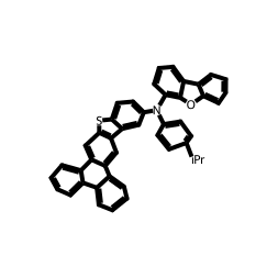 CC(C)c1ccc(N(c2ccc3sc4cc5c6ccccc6c6ccccc6c5cc4c3c2)c2cccc3c2oc2ccccc23)cc1